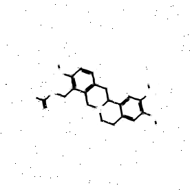 COc1cc2c(cc1OC)C1Cc3ccc(OC)c(CNC(C)=O)c3CN1CC2